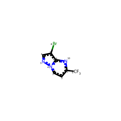 FC(F)(F)c1ccn2ncc(Br)c2n1